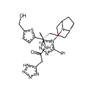 Cc1nnc(C(C)C)n1C1CC2CCC(C1)N2CC[C@H](NC(=O)Cc1nnn[nH]1)c1ccc(CO)s1